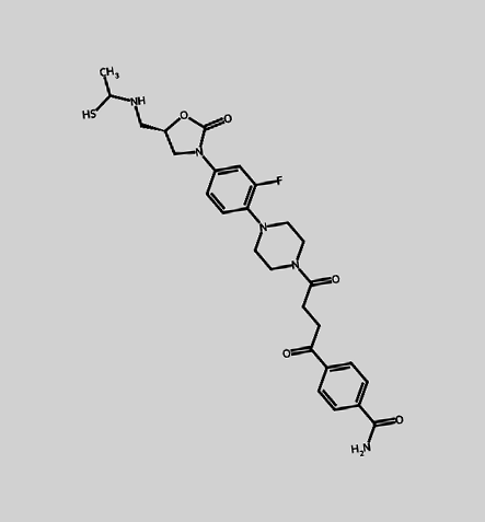 CC(S)NC[C@@H]1CN(c2ccc(N3CCN(C(=O)CCC(=O)c4ccc(C(N)=O)cc4)CC3)c(F)c2)C(=O)O1